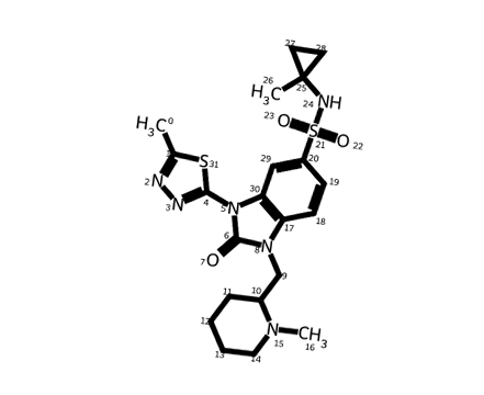 Cc1nnc(-n2c(=O)n(CC3CCCCN3C)c3ccc(S(=O)(=O)NC4(C)CC4)cc32)s1